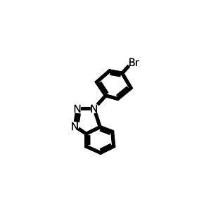 Brc1ccc(-n2nnc3ccccc32)cc1